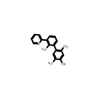 Cc1cc(-c2cccc(-c3ccccn3)c2C)c(C)cc1C#N